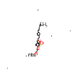 C=CCC/C=C/c1ccc(CCc2cc3ccc(OCCCOCCCC)c(F)c3c(=O)o2)cc1